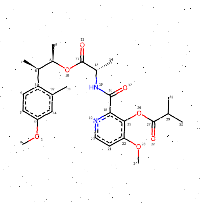 COc1ccc([C@@H](C)[C@@H](C)OC(=O)[C@H](C)NC(=O)c2nccc(OC)c2OC(=O)C(C)C)c(C)c1